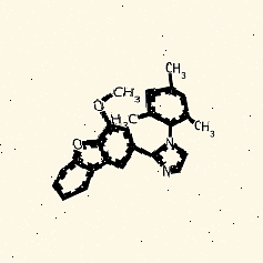 COc1cc(-c2nccn2-c2c(C)cc(C)cc2C)cc2c1oc1ccccc12